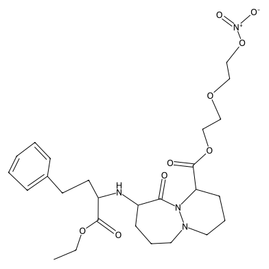 CCOC(=O)C(CCc1ccccc1)NC1CCCN2CCCC(C(=O)OCCOCCO[N+](=O)[O-])N2C1=O